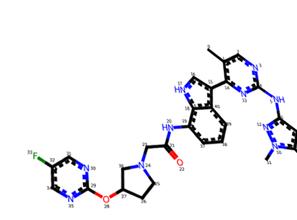 Cc1cnc(Nc2cc(C)n(C)n2)nc1-c1c[nH]c2c(NC(=O)CN3CCC(Oc4ncc(F)cn4)C3)cccc12